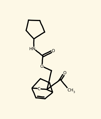 CC(=O)C1(COC(=O)NC2CCCC2)CC2C=CC1CC2